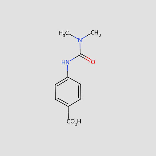 CN(C)C(=O)Nc1ccc(C(=O)O)cc1